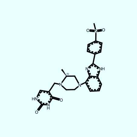 C[C@H]1CN(c2cccc3[nH]c(-c4ccc(S(C)(=O)=O)cc4)nc23)CCN1Cc1c[nH]c(=O)[nH]c1=O